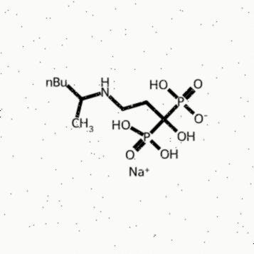 CCCCC(C)NCCC(O)(P(=O)([O-])O)P(=O)(O)O.[Na+]